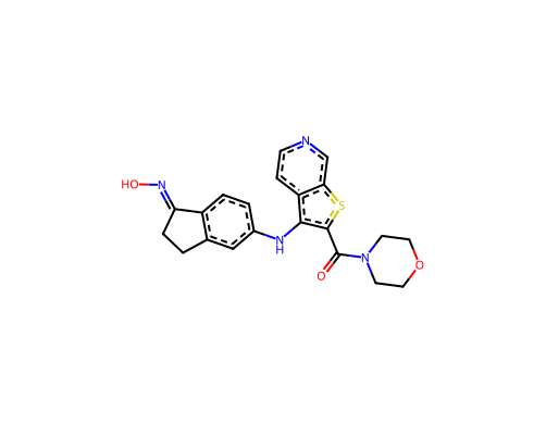 O=C(c1sc2cnccc2c1Nc1ccc2c(c1)CCC2=NO)N1CCOCC1